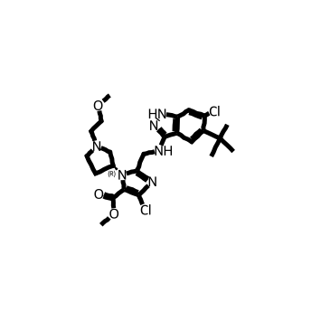 COCCN1CC[C@@H](n2c(CNc3n[nH]c4cc(Cl)c(C(C)(C)C)cc34)nc(Cl)c2C(=O)OC)C1